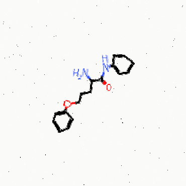 NC(CCCOc1ccccc1)C(=O)Nc1ccccc1